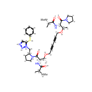 CN[C@@H](C)C(=O)N[C@H](C(=O)N1CCCC1)[C@@H](C)OCC#CC#CCO[C@H](C)[C@H](NC(=O)[C@H](C)NC)C(=O)N1CCC[C@H]1Cn1nncc1Sc1ccccc1